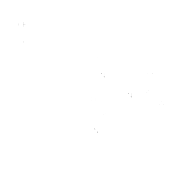 O=C(Cn1c(=O)oc2ccc(-c3ccc(OC(F)(F)F)cc3)nc21)N1CCCC1